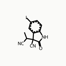 CC(C#N)C1(C#N)C(=O)Nc2ccc(I)cc21